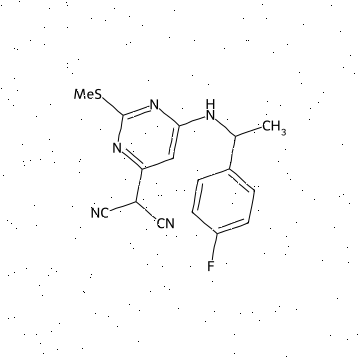 CSc1nc(NC(C)c2ccc(F)cc2)cc(C(C#N)C#N)n1